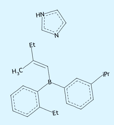 CCC(C)=CB(c1cccc(C(C)C)c1)c1ccccc1CC.c1c[nH]cn1